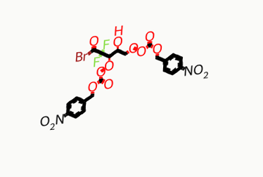 O=C(OCc1ccc([N+](=O)[O-])cc1)OOC[C@H](O)[C@@H](OOC(=O)OCc1ccc([N+](=O)[O-])cc1)C(F)(F)C(=O)Br